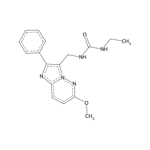 CCNC(=O)NCc1c(-c2ccccc2)nc2ccc(OC)nn12